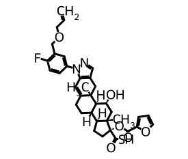 C=CCOCc1cc(-n2ncc3c2C=C2CC[C@@H]4[C@H]([C@@H](O)C[C@@]5(C)[C@H]4CC[C@]5(OC(=O)c4ccco4)C(=O)S)[C@@]2(C)C3)ccc1F